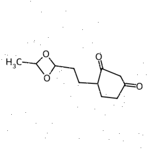 CC1OC(CCC2CCC(=O)CC2=O)O1